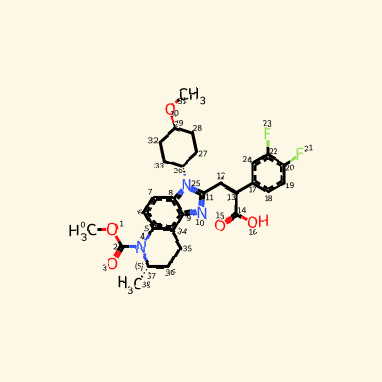 COC(=O)N1c2ccc3c(nc(CC(C(=O)O)c4ccc(F)c(F)c4)n3[C@H]3CC[C@H](OC)CC3)c2CC[C@@H]1C